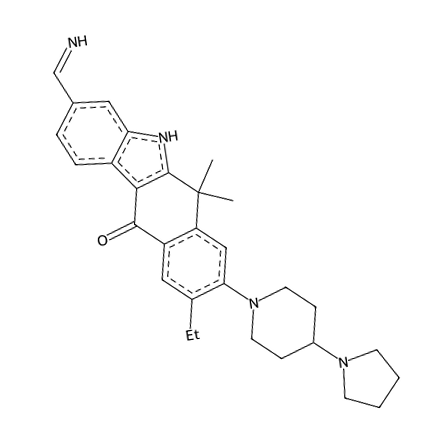 CCc1cc2c(cc1N1CCC(N3CCCC3)CC1)C(C)(C)c1[nH]c3cc(C=N)ccc3c1C2=O